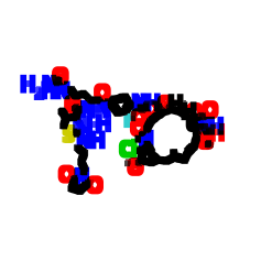 COc1cc2cc(c1Cl)N(C)C(=O)C[C@H](OC(=O)Nc1ccc(NC(=O)[C@H](CCCNC(N)=O)NC(=O)[C@@H](NC(=S)NCCCCN3C(=O)C=CC3=O)C(C)C)cc1F)[C@]1(C)O[C@H]1[C@H](C)[C@@H]1C[C@@](O)(NC(=O)O1)[C@H](OC)/C=C/C=C(\C)C2